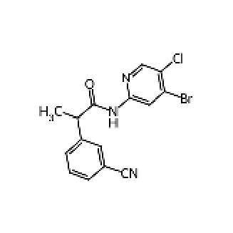 CC(C(=O)Nc1cc(Br)c(Cl)cn1)c1cccc(C#N)c1